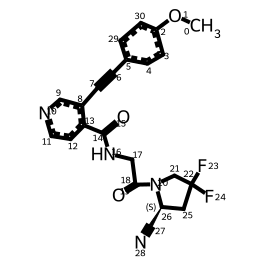 COc1ccc(C#Cc2cnccc2C(=O)NCC(=O)N2CC(F)(F)C[C@H]2C#N)cc1